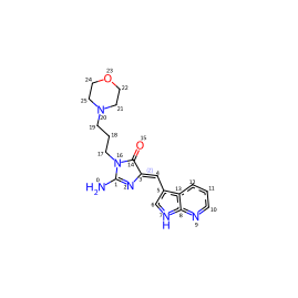 NC1=N/C(=C\c2c[nH]c3ncccc23)C(=O)N1CCCN1CCOCC1